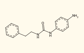 Nc1ccc(NC(=O)NCCc2ccccc2)cc1